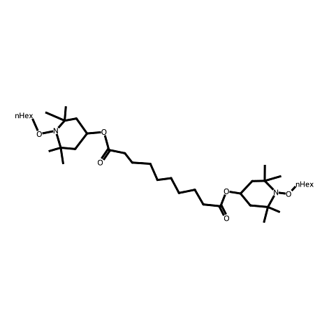 CCCCCCON1C(C)(C)CC(OC(=O)CCCCCCCCC(=O)OC2CC(C)(C)N(OCCCCCC)C(C)(C)C2)CC1(C)C